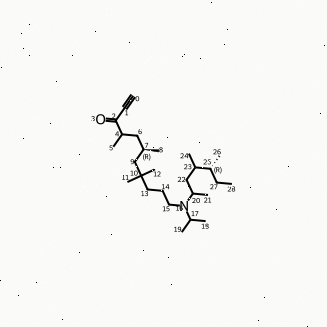 C#CC(=O)C(C)C[C@@H](C)CC(C)(C)CCCN(C(C)C)C(C)CC(C)[C@H](C)CC